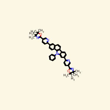 CC1(C)N=C(c2ccc(-c3ccc4c(ccc5c6ccc(-c7ccc(C8=NC(C)(C)C(C)(C)O8)cn7)cc6n(-c6ccccc6)c45)c3)nc2)OC1(C)C